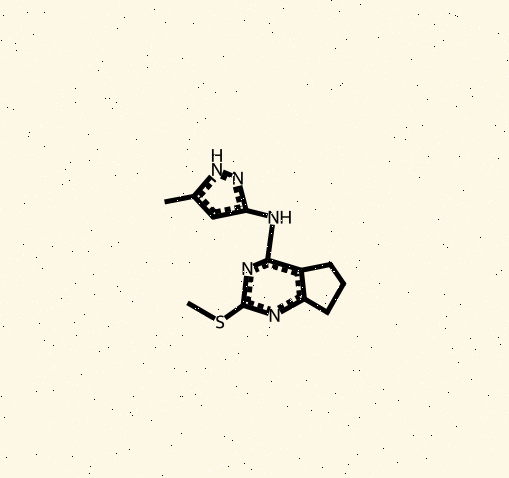 CSc1nc2c(c(Nc3cc(C)[nH]n3)n1)CCC2